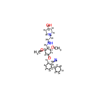 COc1cc(OCc2cccc(-c3ccccc3)c2C#N)cc(OC)c1CNCCN1CCC(O)CC1